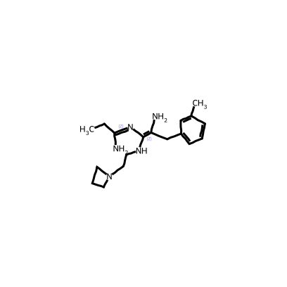 CC/C(N)=N/C(NCCN1CCC1)=C(\N)Cc1cccc(C)c1